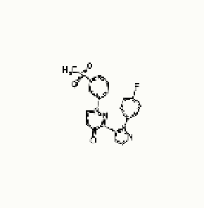 CS(=O)(=O)c1cccc(-n2ccc(=O)c(-c3ccnn3-c3ccc(F)cc3)n2)c1